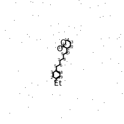 CCc1ccc(CCCCCCC2CCCOC2=O)cc1